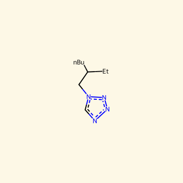 CCCCC(CC)Cn1cnnn1